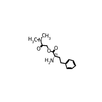 CN(C)C(=O)COC(=O)[C@@H](N)CCc1ccccc1